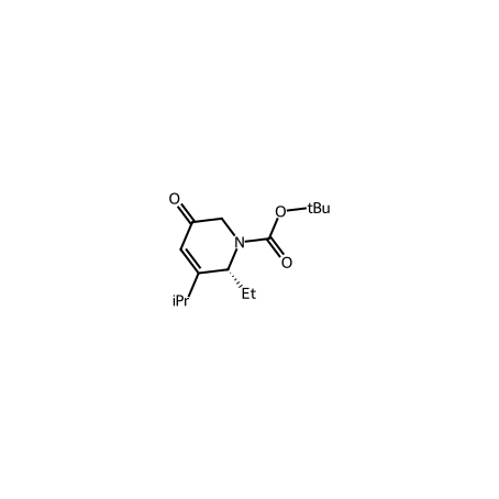 CC[C@@H]1C(C(C)C)=CC(=O)CN1C(=O)OC(C)(C)C